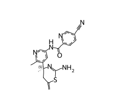 C=C1C[C@@](C)(c2cc(NC(=O)c3ccc(C#N)cn3)cnc2C)N=C(N)S1